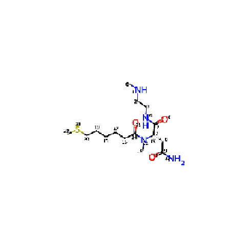 CNCCNC(=O)[C@H](CC(N)=O)N(C)C(=O)CCCCCSC